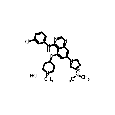 CN1CCC(Oc2cc(N3CC[C@@H](N(C)C)C3)cc3ncnc(Nc4cccc(Cl)c4)c23)CC1.Cl